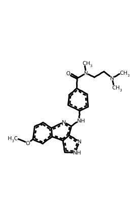 COc1ccc2nc(Nc3ccc(C(=O)N(C)CCN(C)C)cc3)c3n[nH]cc3c2c1